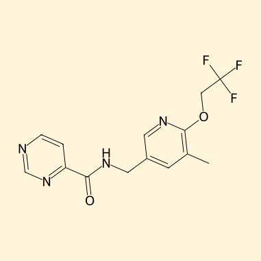 Cc1cc(CNC(=O)c2ccncn2)cnc1OCC(F)(F)F